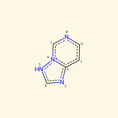 c1cc2nc[nH][n+]2cn1